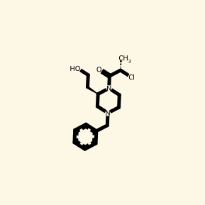 C[C@H](Cl)C(=O)N1CCN(Cc2ccccc2)C[C@H]1CCO